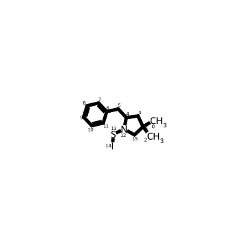 CC1(C)CC(Cc2ccccc2)N(SI)C1